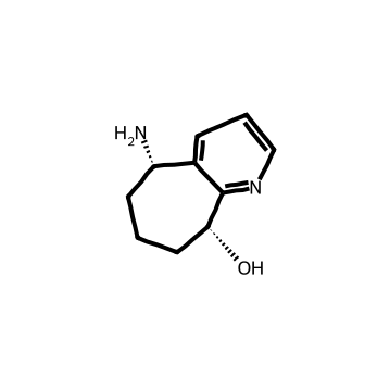 N[C@H]1CCC[C@@H](O)c2ncccc21